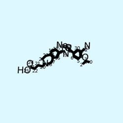 CC(C)Oc1ccc(-c2nc(-c3ccc4c(c3)CCN(CCCC(=O)O)CC4)no2)cc1C#N.[Na]